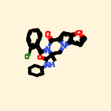 CC1(C(=O)NC2CCCCC2)Cn2c(cc3occc32)C(=O)N1Cc1ccccc1Cl